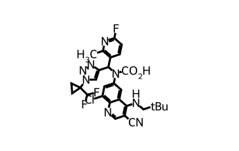 Cc1nc(F)ccc1C(c1cn(C2(C(F)F)CC2)nn1)N(C(=O)O)c1cc(Cl)c2ncc(C#N)c(NCC(C)(C)C)c2c1